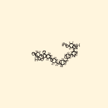 CC(C)Oc1ccc2[nH]nc(-c3cc(N4CCOC(CN5CCN(CC6CCN(c7ccc8c(c7)C(=O)N(C7CCC(=O)NC7=O)C8=O)CC6)CC5)C4)ncn3)c2c1